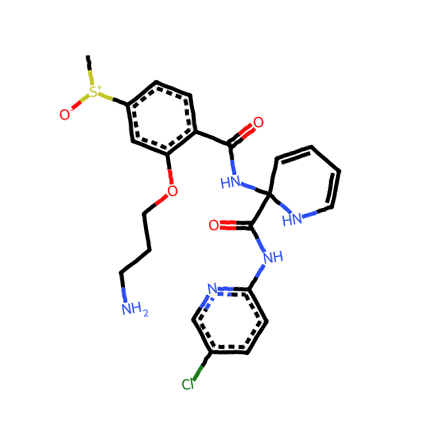 C[S+]([O-])c1ccc(C(=O)NC2(C(=O)Nc3ccc(Cl)cn3)C=CC=CN2)c(OCCCN)c1